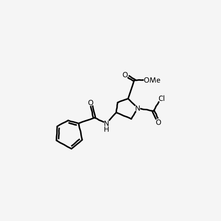 COC(=O)C1CC(NC(=O)c2ccccc2)CN1C(=O)Cl